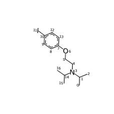 CC(C)N(CCOc1ccc(I)cc1)C(C)C